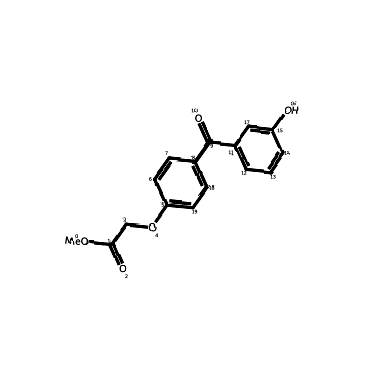 COC(=O)COc1ccc(C(=O)c2cccc(O)c2)cc1